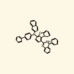 C1=CCC2C(=C1)Oc1c(N(c3ccc(-c4ccccc4)cc3)c3ccc4ccccc4c3)ccc(C3=Nc4ccccc4C(c4ccccc4)N3)c12